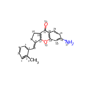 Cc1ccccc1C=C1CCc2c1oc1cc(N)ccc1c2=O